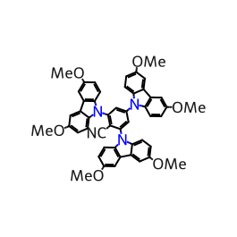 COc1ccc2c(c1)c1cc(OC)ccc1n2-c1cc(-n2c3ccc(OC)cc3c3cc(OC)ccc32)c(C#N)c(-n2c3ccc(OC)cc3c3cc(OC)ccc32)c1